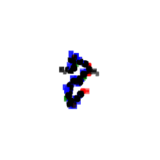 CNC1(c2ccc(F)c(-c3cc(Nc4ccc(N5CCC(OC6CC(C)(C(=O)Nc7ccc(-c8cc(Nc9ccc(N%10CCNC(CNCc%11ccc(F)c(-c%12cc(Nc%13ccc(N%14CCC(O)CC%14)cn%13)c%13c(=O)[nH]ccc%13n%12)c%11)C%10)cn9)c9c(=O)[nH]ccc9n8)c(F)c7)C6)CC5)cn4)c4c(=O)[nH]ccc4n3)c2)CC1